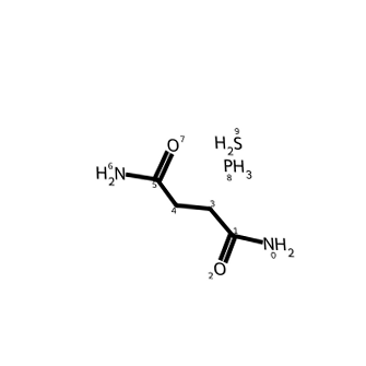 NC(=O)CCC(N)=O.P.S